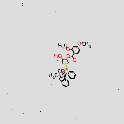 COc1ccc(C(=O)O[C@H]2C[SH](CO[Si](c3ccccc3)(c3ccccc3)C(C)(C)C)C[C@H]2O)c(OC)c1